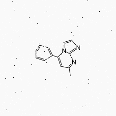 Cc1cc(-c2ccccc2)n2ccnc2n1